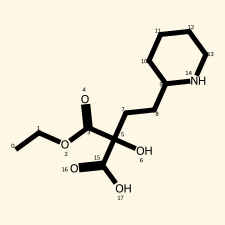 CCOC(=O)C(O)(CCC1CCCCN1)C(=O)O